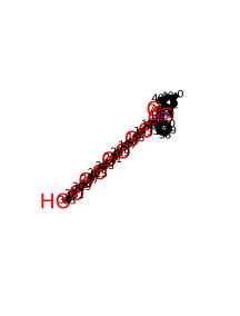 Cc1cc(C)c(C(=O)P(=O)(OCCOCCOCCOCCOCCOCCOCCOCCO)c2ccccc2)c(C)c1